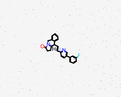 O=C1CC[C@@H]2C(/C=C/c3ccc(-c4cccc(F)c4)cn3)c3ccccc3CN12